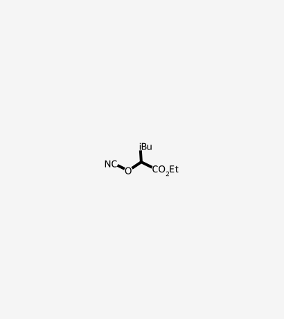 CCOC(=O)C(OC#N)C(C)CC